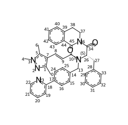 Cc1nn(C)c(C)c1C=CC(=O)N(Cc1ccc(-c2ccccn2)cc1)[C@@H](Cc1ccccc1)C(=O)N1CCc2ccccc2C1